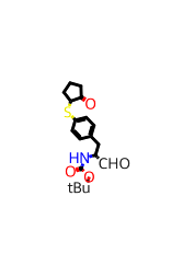 CC(C)(C)OC(=O)NC(C=O)Cc1ccc(SC2CCCC2=O)cc1